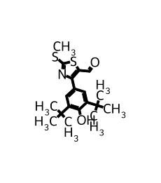 CSc1nc(-c2cc(C(C)(C)C)c(O)c(C(C)(C)C)c2)c(C=O)s1